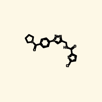 O=C(NCc1cn(-c2ccc(C(=O)N3CCCC3)cc2)nn1)c1ccc(Cl)s1